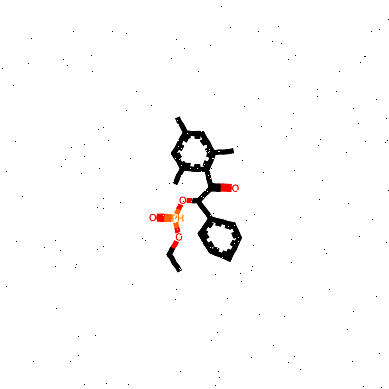 CCO[PH](=O)OC(C(=O)c1c(C)cc(C)cc1C)c1ccccc1